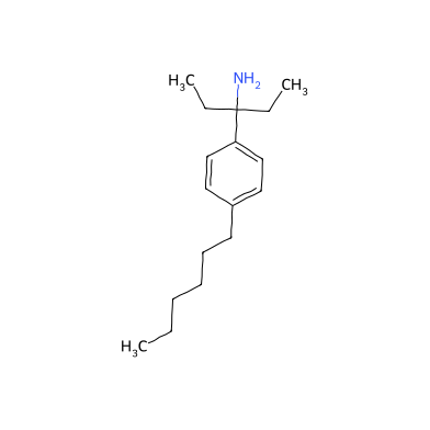 CCCCCCc1ccc(C(N)(CC)CC)cc1